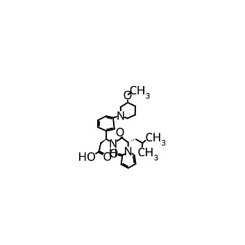 CO[C@H]1CCCN(c2cccc([C@H](CC(=O)O)NC(=O)[C@H](CC(C)C)n3ccccc3=O)c2)C1